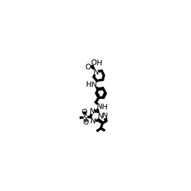 CC(C)c1cnn2c(NCc3cccc(N[C@H]4CCCN(C(=O)O)C4)c3)nc(S(C)(=O)=O)nc12